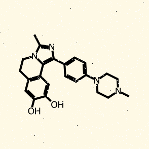 Cc1nc(-c2ccc(N3CCN(C)CC3)cc2)c2n1CCc1cc(O)c(O)cc1-2